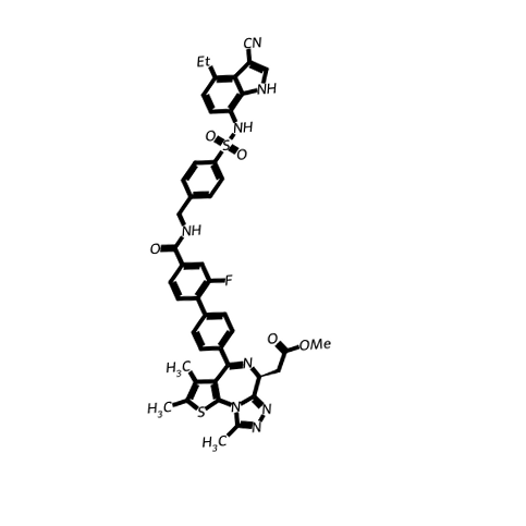 CCc1ccc(NS(=O)(=O)c2ccc(CNC(=O)c3ccc(-c4ccc(C5=N[C@@H](CC(=O)OC)c6nnc(C)n6-c6sc(C)c(C)c65)cc4)c(F)c3)cc2)c2[nH]cc(C#N)c12